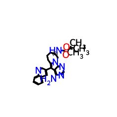 CC(C)(C)OC(=O)N[C@H]1CCCc2c(-c3cnc4ccccc4c3)c3c(N)ncnc3n2C1